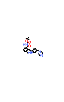 CN1CCN(Cc2ccc(C3=Cc4c(cccc4C(=O)NC(=O)OC(C)(C)C)CN3)cc2)CC1